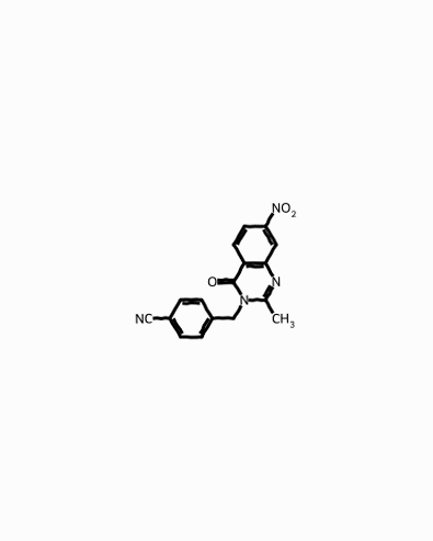 Cc1nc2cc([N+](=O)[O-])ccc2c(=O)n1Cc1ccc(C#N)cc1